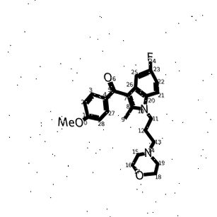 COc1ccc(C(=O)c2c(C)n(CCCN3CCOCC3)c3ccc(F)cc23)cc1